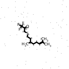 CC(C)=CCCC(C)CCSCC(=O)C(F)(F)F